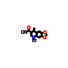 C=C1C(C(=O)N=O)=CN(CC)c2cc3c(cc21)OCO3